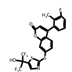 Cc1c(F)cccc1-c1cc(=O)oc2cc(Sc3ncc(C(O)(C(F)(F)F)C(F)(F)F)s3)ccc12